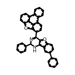 c1ccc(-c2ccc3oc4c(c3c2)NC(c2ccccc2)N=C4c2ccc3c4ccccc4c4cccc5oc2c3c54)cc1